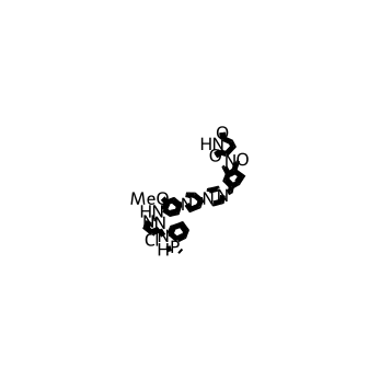 COc1cc(N2CCC(N3CCN(Cc4ccc5c(c4)CN(C4CCC(=O)NC4=O)C5=O)CC3)CC2)ccc1Nc1ncc(Cl)c(Nc2ccccc2P(C)C)n1